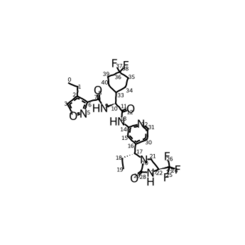 CCc1conc1C(=O)N[C@H](C(=O)Nc1cc([C@@H](CC)N2C[C@@H](C(F)(F)F)NC2=O)ccn1)C1CCC(F)(F)CC1